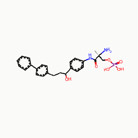 C[C@](N)(COP(=O)(O)O)C(=O)Nc1ccc(C(O)CCc2ccc(-c3ccccc3)cc2)cc1